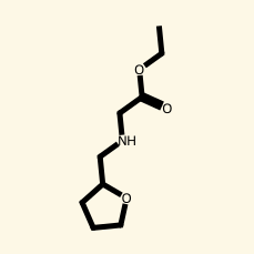 CCOC(=O)CNCC1CCCO1